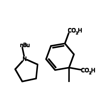 CC1(C(=O)O)C=CC=C(C(=O)O)C1.CCCCN1CCCC1